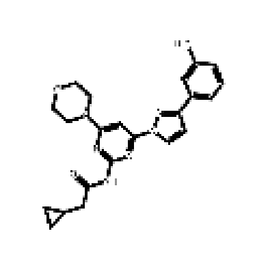 Cc1cccc(-c2ccn(-c3cc(N4CCOCC4)nc(NC(=O)CC4CC4)n3)n2)c1